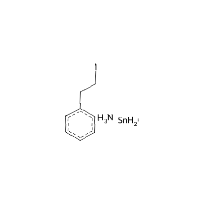 ICCc1ccccc1.N.[SnH2]